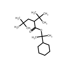 CC(C)(C)CC(C(=O)OC(C)(C)C1CCCCC1)C(C)(C)C